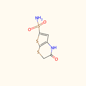 NS(=O)(=O)c1cc2c(s1)SCC(=O)N2